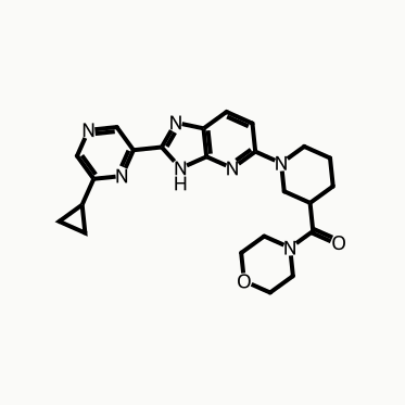 O=C(C1CCCN(c2ccc3nc(-c4cncc(C5CC5)n4)[nH]c3n2)C1)N1CCOCC1